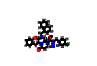 O=C1[C@H](Cc2ccccc2)N2C(=O)CCN(C(=O)NCc3ccc(F)cc3)[C@H]2CN1Cc1cccc2ccccc12